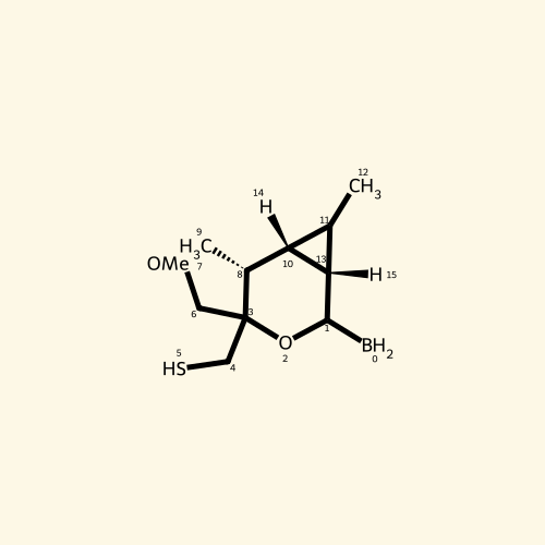 BC1OC(CS)(COC)[C@H](C)[C@@H]2C(C)[C@H]12